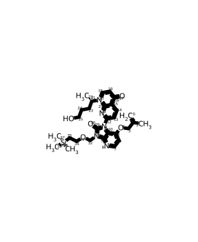 C=C(C)COc1ccnc2c1n(-c1ccc3c(=O)ccn([C@@H](C)CCCO)c3n1)c(=O)n2COCC[Si](C)(C)C